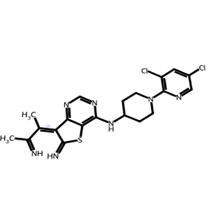 CC(=N)/C(C)=C1\C(=N)Sc2c(NC3CCN(c4ncc(Cl)cc4Cl)CC3)ncnc21